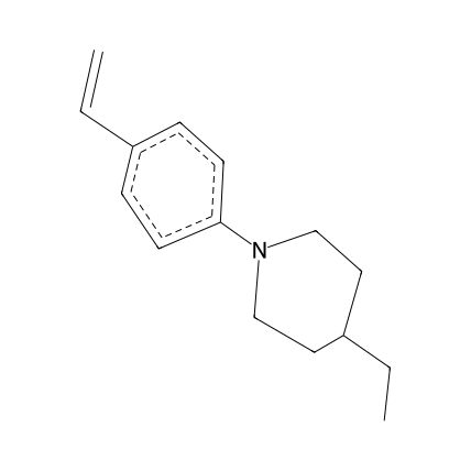 C=Cc1ccc(N2CCC(CC)CC2)cc1